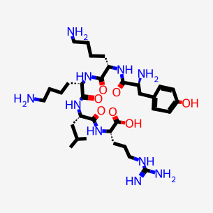 CC(C)C[C@H](NC(=O)[C@H](CCCCN)NC(=O)[C@H](CCCCN)NC(=O)[C@@H](N)Cc1ccc(O)cc1)C(=O)N[C@@H](CCCNC(=N)N)C(=O)O